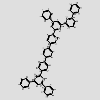 c1ccc(-c2cc(-c3ccc(-c4ccc(-c5ccc(-c6nc(-c7ccccc7)cc(-c7ccccc7)n6)cc5)cc4)cn3)nc(-c3cccc(-c4ccccc4)n3)c2)cc1